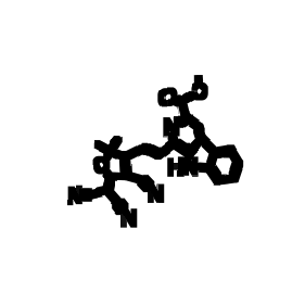 COC(=O)c1cc2c([nH]c3ccccc32)c(C=CC2=C(C#N)C(=C(C#N)C#N)OC2(C)C)n1